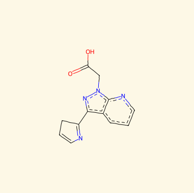 O=C(O)Cn1nc(C2=NC=CC2)c2cccnc21